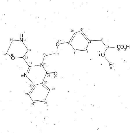 CCOC(Cc1ccc(OCCn2c(C3CNCCO3)nc3ccccc3c2=O)cc1)C(=O)O